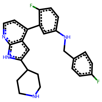 Fc1ccc(CNc2ccc(F)c(-c3ccnc4[nH]c(C5CCNCC5)cc34)c2)cc1